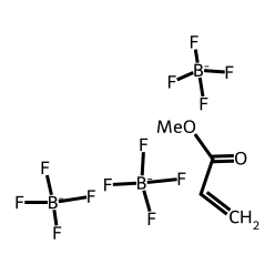 C=CC(=O)OC.F[B-](F)(F)F.F[B-](F)(F)F.F[B-](F)(F)F